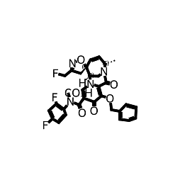 C[C@H]1C=C[C@]2(CC(CF)=NO2)[C@H]2CN1C(=O)c1c(OCc3ccccc3)c(=O)c(C(=O)N(C(=O)O)c3ccc(F)cc3F)cn12